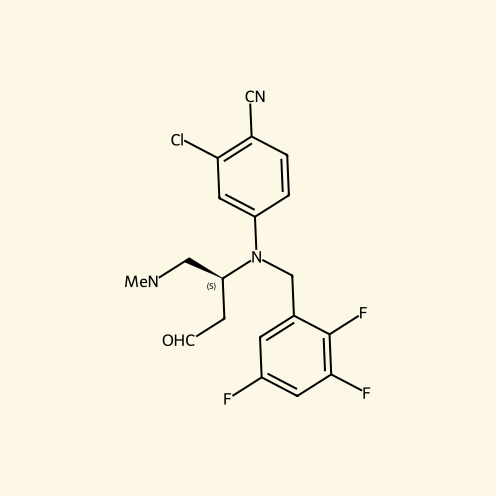 CNC[C@H](CC=O)N(Cc1cc(F)cc(F)c1F)c1ccc(C#N)c(Cl)c1